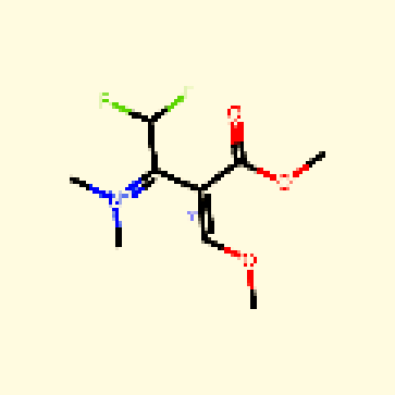 CO/C=C(\C(=O)OC)C(C(F)F)=[N+](C)C